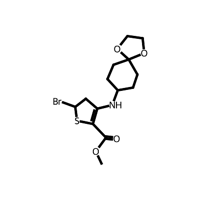 COC(=O)C1=C(NC2CCC3(CC2)OCCO3)CC(Br)S1